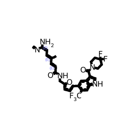 C=N\C(N)=C/C=C(C)/C=C/C(=O)NCc1ccc(-c2cc3c(C(=O)N4CCC(F)(F)CC4)c[nH]c3cc2C(F)(F)F)o1